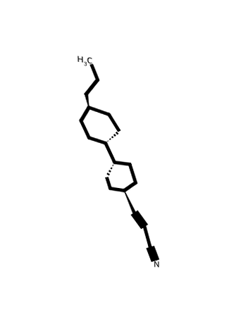 CCC[C@H]1CC[C@H]([C@H]2CC[C@H](C#CC#N)CC2)CC1